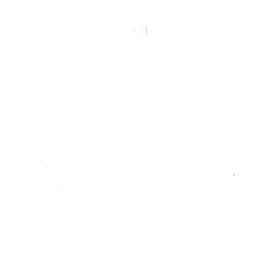 C=CC(=O)Oc1c2c(c(O)c3ccccc13)CC=C(Cl)C2